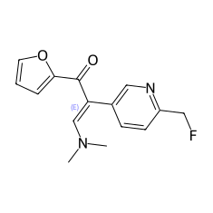 CN(C)/C=C(/C(=O)c1ccco1)c1ccc(CF)nc1